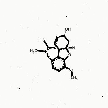 COc1ccc2c3c1O[C@H]1C[C@@H](O)C=C[C@@]31CC(O)N(C)C2